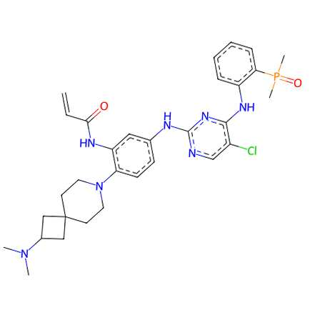 C=CC(=O)Nc1cc(Nc2ncc(Cl)c(Nc3ccccc3P(C)(C)=O)n2)ccc1N1CCC2(CC1)CC(N(C)C)C2